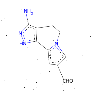 Nc1n[nH]c2c1CCn1cc(C=O)cc1-2